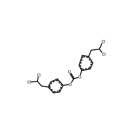 O=C(Oc1ccc(CC(Cl)Cl)cc1)Oc1ccc(CC(Cl)Cl)cc1